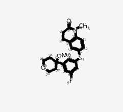 COC1(c2cc(F)cc(Sc3ccc4c(c3)CCC(=O)N4C)c2)CCOCC1